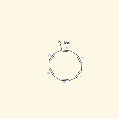 CC(=O)NC1=C/C=C\C=C/C=C\C=C/C=C\1